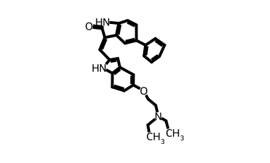 CCN(CC)CCOc1ccc2[nH]c(/C=C3/C(=O)Nc4ccc(-c5ccccc5)cc43)cc2c1